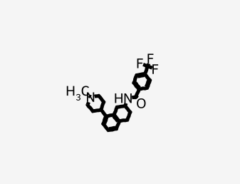 CN1CCC(c2cccc3c2CC(NC(=O)c2ccc(C(F)(F)F)cc2)CC3)CC1